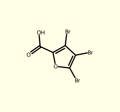 O=C(O)c1oc(Br)c(Br)c1Br